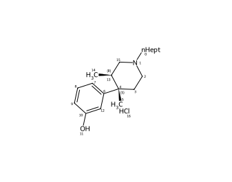 CCCCCCCN1CC[C@](C)(c2cccc(O)c2)[C@@H](C)C1.Cl